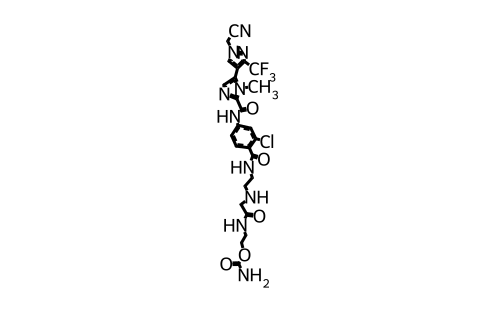 Cn1c(-c2cn(CC#N)nc2C(F)(F)F)cnc1C(=O)Nc1ccc(C(=O)NCCNCC(=O)NCCOC(N)=O)c(Cl)c1